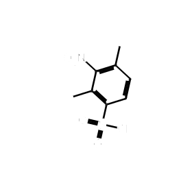 Cc1ccc(S(=O)(=O)Cl)c(C)c1[N+](=O)[O-]